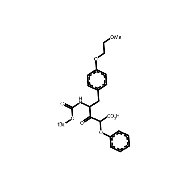 COCCOc1ccc(CC(NC(=O)OC(C)(C)C)C(=O)C(Oc2ccccc2)C(=O)O)cc1